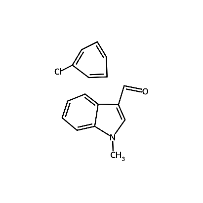 Clc1ccccc1.Cn1cc(C=O)c2ccccc21